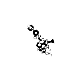 Cc1nn2c3c(nc2s1)CCN(C(=O)COc1ccc(N2CCOCC2)cc1Cl)C3c1cnc(C2CC2)nc1C